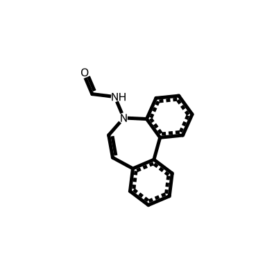 O=CNN1C=Cc2ccccc2-c2ccccc21